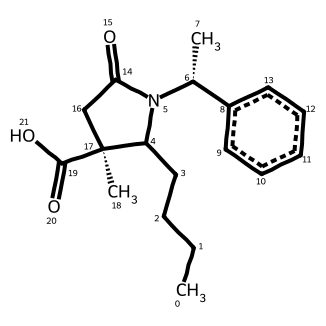 CCCCC1N([C@H](C)c2ccccc2)C(=O)C[C@]1(C)C(=O)O